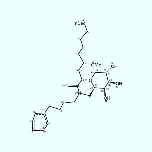 CCCCCCCCCCCCCCCCCC(=O)N(CCCCc1ccccc1)C[C@H]1O[C@H](OC)[C@H](O)[C@@H](O)[C@H]1O